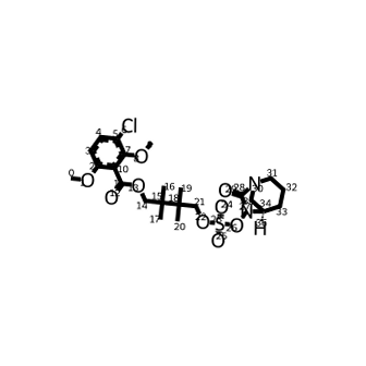 COc1ccc(Cl)c(OC)c1C(=O)OCC(C)(C)C(C)(C)COS(=O)(=O)ON1C(=O)N2CCC[C@@H]1C2